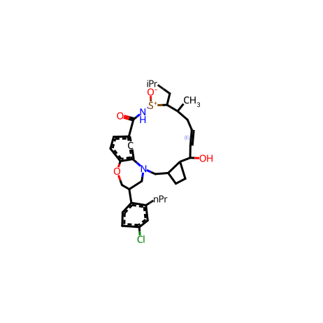 CCCc1cc(Cl)ccc1C1COc2ccc3cc2N(C1)CC1CCC1C(O)/C=C/CC(C)C(CC(C)C)[S+]([O-])NC3=O